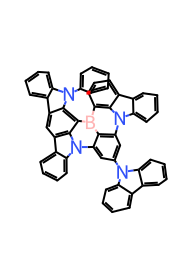 c1ccc(-n2c3ccccc3c3cc4c5ccccc5n5c4c(c32)B2c3c(cc(-n4c6ccccc6c6ccccc64)cc3-5)-n3c4ccccc4c4cccc2c43)cc1